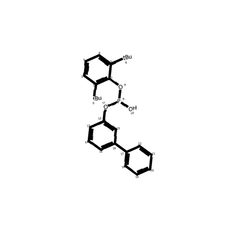 CC(C)(C)c1cccc(C(C)(C)C)c1OP(O)Oc1cccc(-c2ccccc2)c1